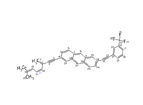 C=C(C#Cc1ccc2cc3cc(C#Cc4cccc(C(F)(F)F)c4)ccc3cc2c1)/C=C\C=C(C)C